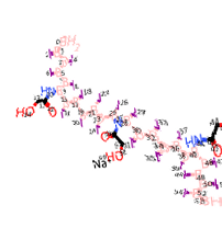 BB(I)B(I)B(I)B(I)B(NC(=O)CO)B(I)B(I)B(I)B(I)B(I)B(I)N(B(I)B(I)B(I)B(I)B(I)B(I)B(NC(=O)CO)B(I)B(I)B(I)B(B)I)C(=O)CO.[Na+]